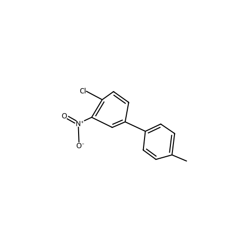 Cc1ccc(-c2ccc(Cl)c([N+](=O)[O-])c2)cc1